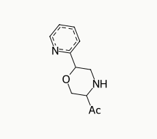 CC(=O)C1COC(c2ccccn2)CN1